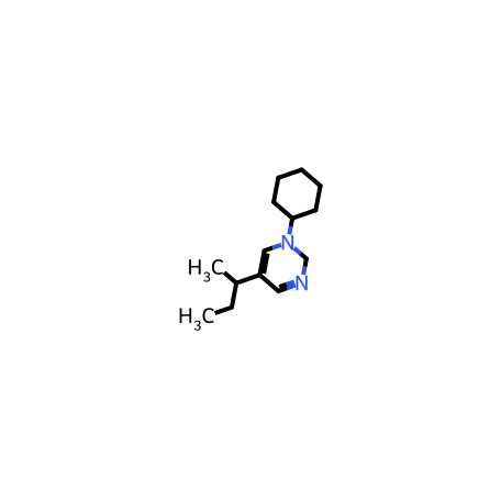 CCC(C)C1=CN(C2CCCCC2)CN=C1